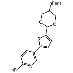 CCCCCC1COC(c2ccc(-c3ccc(CCC)nc3)s2)OC1